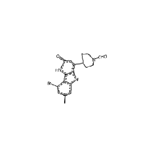 Cc1cc(Br)c2c(c1)nn1c(C3CCN(C=O)CC3)cc(=O)[nH]c21